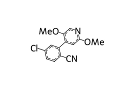 COc1cc(-c2cc(Cl)ccc2C#N)c(OC)cn1